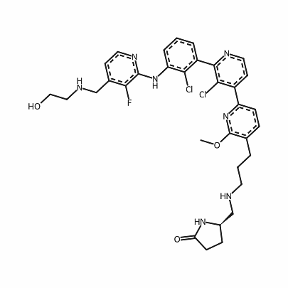 COc1nc(-c2ccnc(-c3cccc(Nc4nccc(CNCCO)c4F)c3Cl)c2Cl)ccc1CCCNC[C@H]1CCC(=O)N1